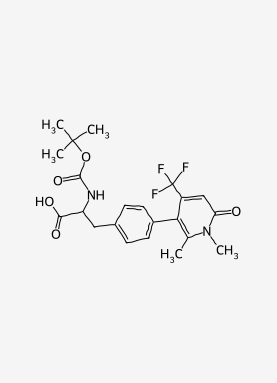 Cc1c(-c2ccc(CC(NC(=O)OC(C)(C)C)C(=O)O)cc2)c(C(F)(F)F)cc(=O)n1C